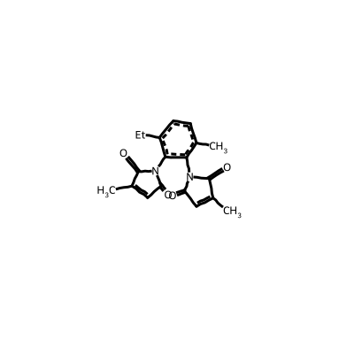 CCc1ccc(C)c(N2C(=O)C=C(C)C2=O)c1N1C(=O)C=C(C)C1=O